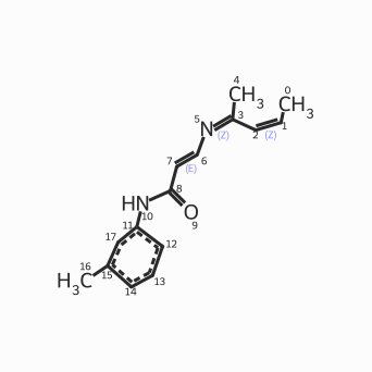 C\C=C/C(C)=N\C=C\C(=O)Nc1cccc(C)c1